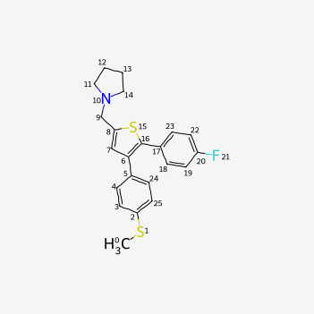 CSc1ccc(-c2cc(CN3CCCC3)sc2-c2ccc(F)cc2)cc1